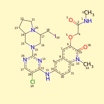 CNC(=O)COc1cc2cc(Nc3nc(N4CC(CI)N5CCCC5C4)ncc3Cl)ccc2n(C)c1=O